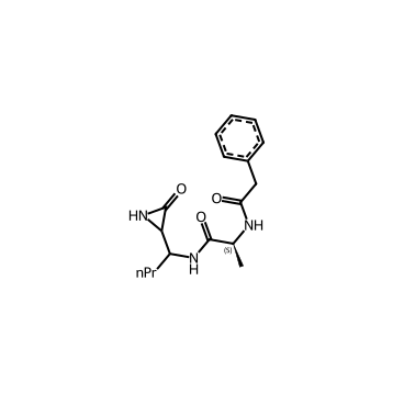 CCCC(NC(=O)[C@H](C)NC(=O)Cc1ccccc1)C1NC1=O